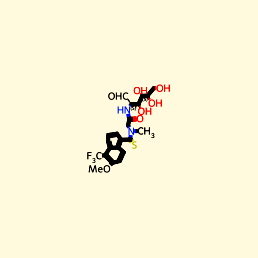 COc1ccc2c(C(=S)N(C)CC(=O)N[C@H](C=O)[C@@H](O)[C@H](O)[C@H](O)CO)cccc2c1C(F)(F)F